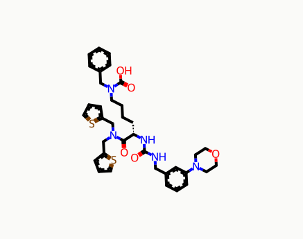 O=C(NCc1cccc(N2CCOCC2)c1)N[C@@H](CCCCN(Cc1ccccc1)C(=O)O)C(=O)N(Cc1cccs1)Cc1cccs1